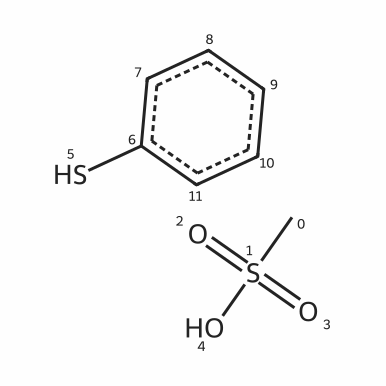 CS(=O)(=O)O.Sc1ccccc1